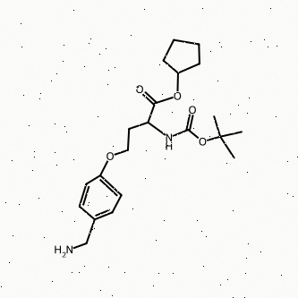 CC(C)(C)OC(=O)NC(CCOc1ccc(CN)cc1)C(=O)OC1CCCC1